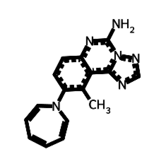 Cc1c(N2C=CC=CC=C2)ccc2nc(N)n3ncnc3c12